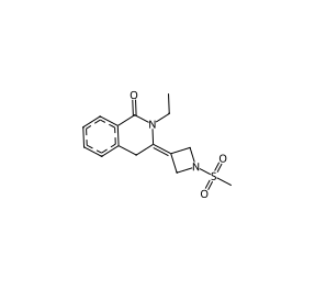 CCN1C(=O)c2ccccc2CC1=C1CN(S(C)(=O)=O)C1